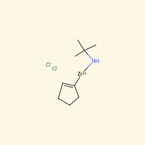 CC(C)(C)[NH][Zr+2][C]1=CCCC1.[Cl-].[Cl-]